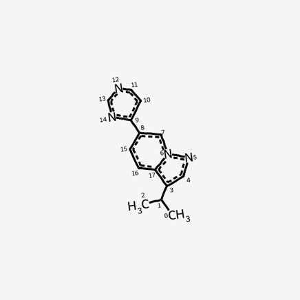 CC(C)c1cnn2cc(-c3ccncn3)ccc12